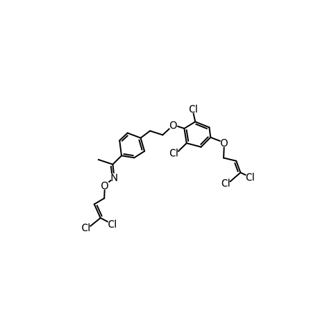 CC(=NOCC=C(Cl)Cl)c1ccc(CCOc2c(Cl)cc(OCC=C(Cl)Cl)cc2Cl)cc1